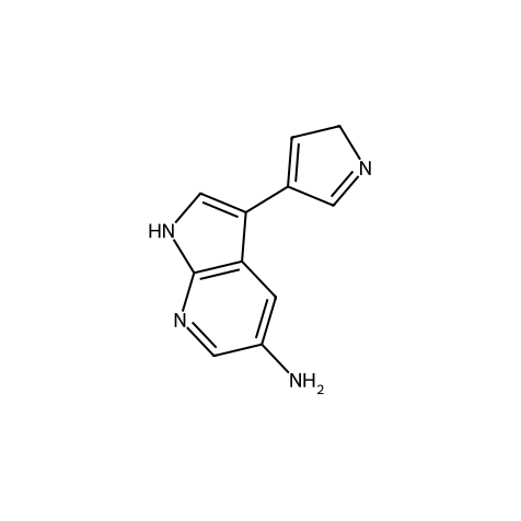 Nc1cnc2[nH]cc(C3=CCN=C3)c2c1